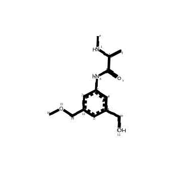 CNC(C)C(=O)Nc1cc(CO)cc(COC)c1